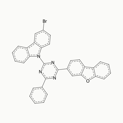 Brc1ccc2c(c1)c1ccccc1n2-c1nc(-c2ccccc2)nc(-c2ccc3c(c2)oc2ccccc23)n1